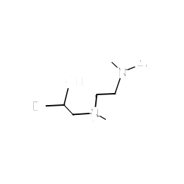 CCC(O)CN(C)CCN(C)C(C)=O